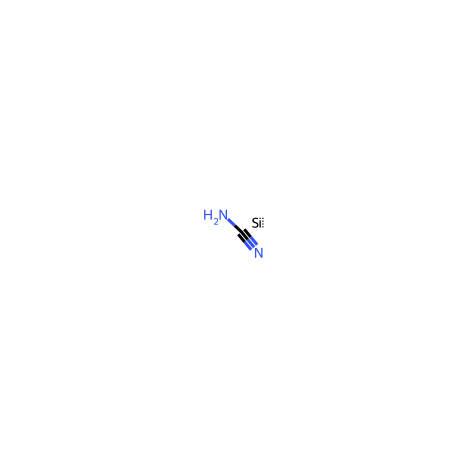 N#CN.[Si]